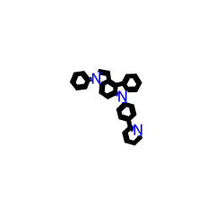 C1=CC(c2ccc(-n3c4ccccc4c4c5ccn(-c6ccccc6)c5ccc43)cc2)=NCC1